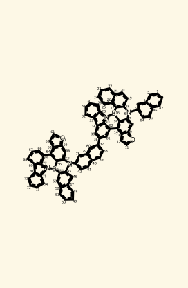 c1ccc2cc(N3c4cc5occc5c5c4B(c4c3ccc3ccccc43)n3c4ccccc4c4cc(-c6ccc7ccc(N8c9cc%10ccccc%10cc9B9c%10c8cc8occc8c%10-c8cccc%10c%11ccccc%11n9c8%10)cc7c6)cc-5c43)ccc2c1